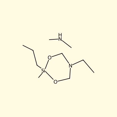 CCC[Si]1(C)OCN(CC)CO1.CNC